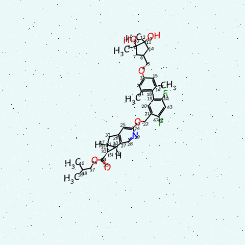 Cc1cc(OCC2CC(C)(O)C(C)(O)C2)cc(C)c1-c1cc(COc2cc3c(cn2)[C@H]2[C@@H](C3)[C@@H]2C(=O)OCC(C)C)c(F)cc1F